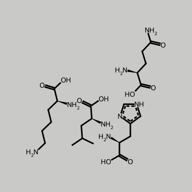 CC(C)C[C@H](N)C(=O)O.NC(=O)CC[C@H](N)C(=O)O.NCCCC[C@H](N)C(=O)O.N[C@@H](Cc1c[nH]cn1)C(=O)O